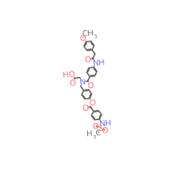 COc1ccc(CC(=O)Nc2ccc(C(=O)N(CC(=O)O)Cc3ccc(OC(=O)c4ccc(NS(C)(=O)=O)cc4)cc3)cc2)cc1